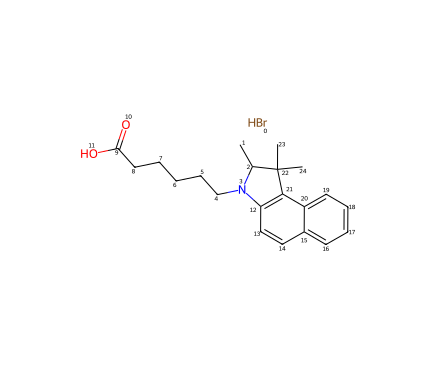 Br.CC1N(CCCCCC(=O)O)c2ccc3ccccc3c2C1(C)C